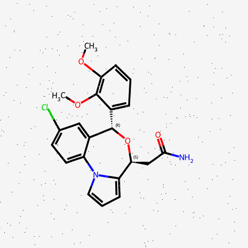 COc1cccc([C@@H]2O[C@@H](CC(N)=O)c3cccn3-c3ccc(Cl)cc32)c1OC